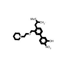 [CH2]C(Cc1ccc(-c2ccc([N+](=O)[O-])c(O)c2)cc1COCCN1CCCCC1)SC